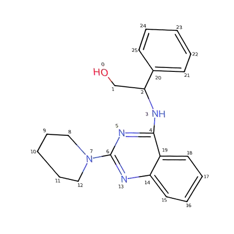 OCC(Nc1nc(N2CCCCC2)nc2ccccc12)c1ccccc1